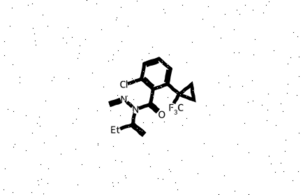 C=NN(C(=C)CC)C(=O)c1c(Cl)cccc1C1(C(F)(F)F)CC1